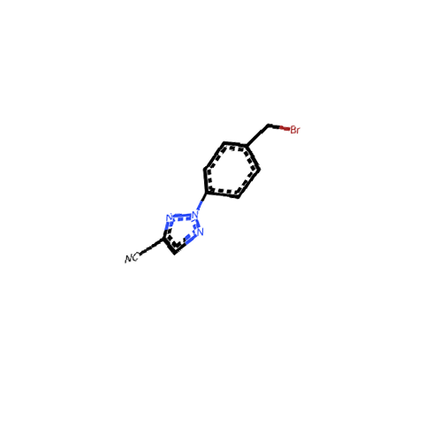 N#Cc1cnn(-c2ccc(CBr)cc2)n1